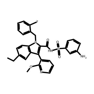 CCc1ccc2c(c1)c(-c1cccnc1OC)c(C(=O)NS(=O)(=O)c1cccc(N)c1)n2Cc1ccccc1F